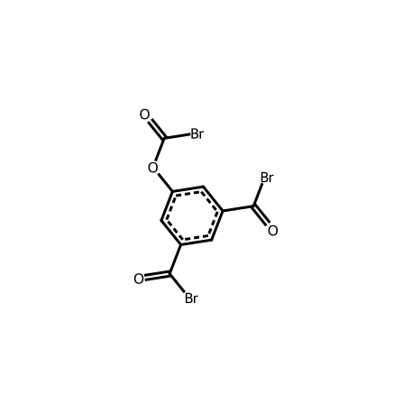 O=C(Br)Oc1cc(C(=O)Br)cc(C(=O)Br)c1